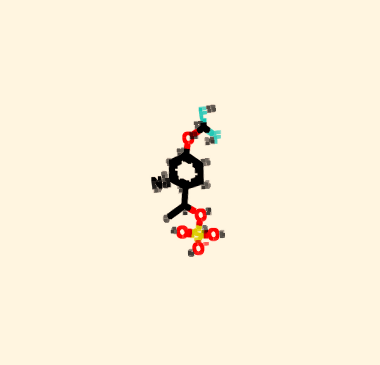 CC(OS(=O)(=O)[O-])c1ccc(OC(F)F)cc1.[Na+]